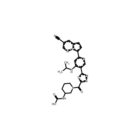 CC(C)Nc1cc(-c2ccc3cc(C#N)cnn23)ncc1-c1nnc(C(=O)N2CCCC(NC(=O)O)C2)s1